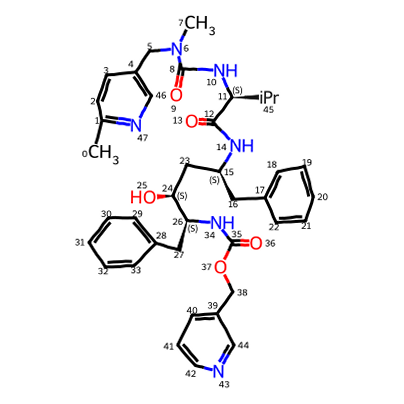 Cc1ccc(CN(C)C(=O)N[C@H](C(=O)N[C@@H](Cc2ccccc2)C[C@H](O)[C@H](Cc2ccccc2)NC(=O)OCc2cccnc2)C(C)C)cn1